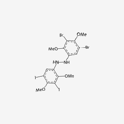 COc1c(Br)cc(NNc2cc(I)c(OC)c(I)c2OC)c(OC)c1Br